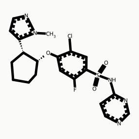 Cn1nccc1[C@H]1CCCC[C@H]1Oc1cc(F)c(S(=O)(=O)Nc2ccncn2)cc1Cl